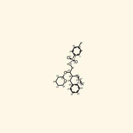 Cc1ccc(S(=O)(=O)OCC(OC2CCCCO2)C(Cc2ccccc2)N=[N+]=[N-])cc1